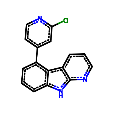 Clc1cc(-c2cccc3[nH]c4ncccc4c23)ccn1